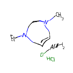 CCN1C=CN(C)C1.Cl.[AlH2][Cl]